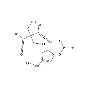 O=C=C(O)C(CO)(CO)C(O)=C=O.[CH3][Mn+3][C]1=CC=CC1.[O-]P([O-])[O-]